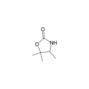 CC1NC(=O)OC1(C)C